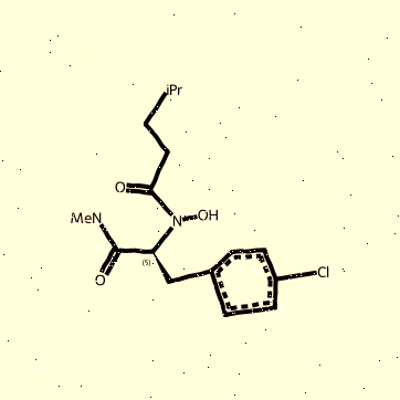 CNC(=O)[C@H](Cc1ccc(Cl)cc1)N(O)C(=O)CCC(C)C